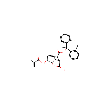 C=C(C)C(=O)OC1C2CC3C1OC(=O)C3C2C(=O)OC1(C)c2ccccc2CSc2ccccc21